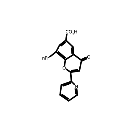 CCCc1cc(C(=O)O)cc2c(=O)cc(-c3ccccn3)oc12